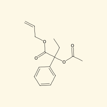 C=CCOC(=O)C(CC)(OC(C)=O)c1ccccc1